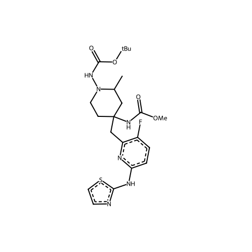 COC(=O)NC1(Cc2nc(Nc3nccs3)ccc2F)CCN(NC(=O)OC(C)(C)C)C(C)C1